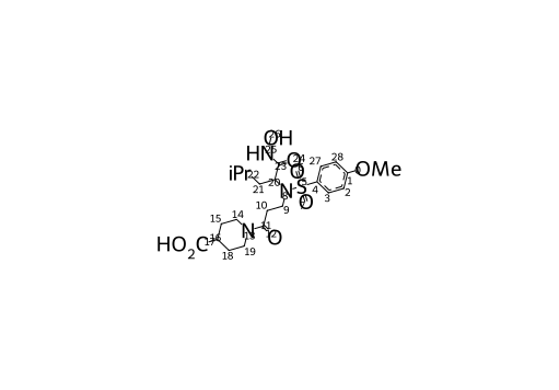 COc1ccc(S(=O)(=O)N(CCC(=O)N2CCC(C(=O)O)CC2)C(CC(C)C)C(=O)NO)cc1